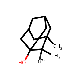 CCCC1(C)C2(C)CC3CC(C2)CC1(O)C3